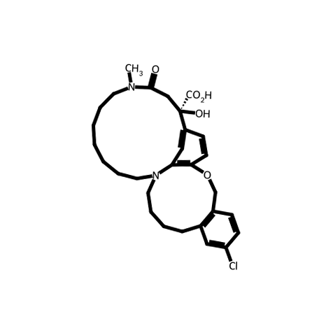 CN1CCCCCCCN2CCCCc3cc(Cl)ccc3COc3ccc(cc32)[C@@](O)(C(=O)O)CC1=O